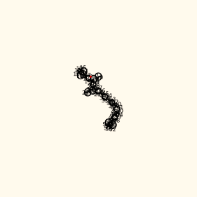 COCOC1(c2ccc(B3OC(C)(C)C(C)(C)O3)cc2)CCC(OCOC)(c2ccc(-c3ccc(-c4ccc(C5(C)CCC(C)(c6ccc(B7OC(C)(C)C(C)(C)O7)cc6)CC5)cc4)cc3)cc2)CC1